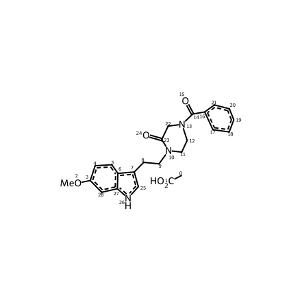 CC(=O)O.COc1ccc2c(CCN3CCN(C(=O)c4ccccc4)CC3=O)c[nH]c2c1